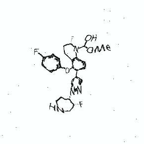 COC(O)N1c2ccc(-c3cnn([C@H]4CCNC[C@H]4F)c3)c(Oc3ccc(F)cc3)c2CC[C@@H]1C